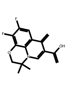 C=C(O)C1=CN2c3c(cc(F)c(F)c3OCC2(C)C)C1=C